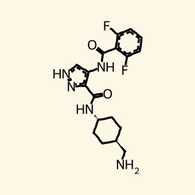 NC[C@H]1CC[C@H](NC(=O)c2n[nH]cc2NC(=O)c2c(F)cccc2F)CC1